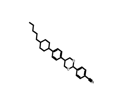 CCCCCC1CCC(c2ccc(C3COC(c4ccc(C#N)cc4)OC3)cc2)CC1